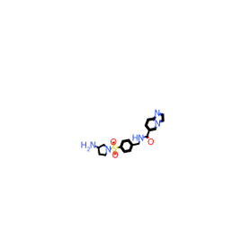 NC1CCN(S(=O)(=O)c2ccc(CNC(=O)c3ccc4nccn4c3)cc2)C1